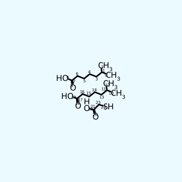 CC(C)CCCCC(=O)O.CC(C)CCCCC(=O)O.O=C(O)CS